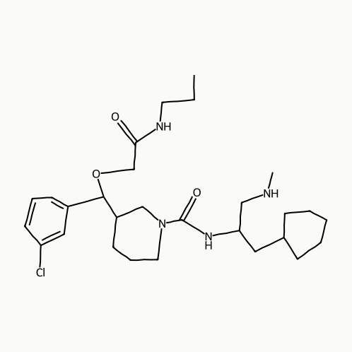 CCCNC(=O)COC(c1cccc(Cl)c1)C1CCCN(C(=O)NC(CNC)CC2CCCCC2)C1